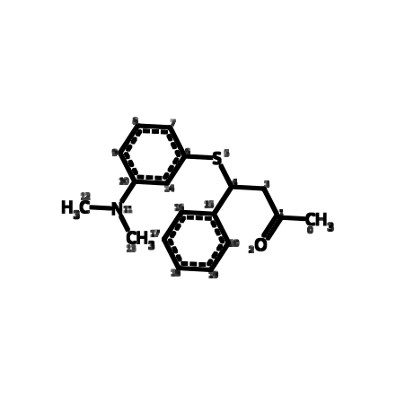 CC(=O)CC(Sc1cccc(N(C)C)c1)c1ccccc1